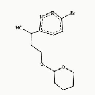 N#CC(CCOC1CCCCO1)c1ccc(Br)cn1